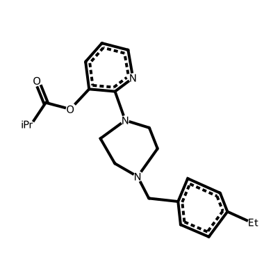 CCc1ccc(CN2CCN(c3ncccc3OC(=O)C(C)C)CC2)cc1